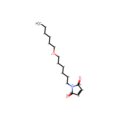 CCCCCCOCCCCCCN1C(=O)C=CC1=O